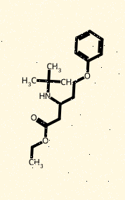 CCOC(=O)CC(CCOc1ccccc1)NC(C)(C)C